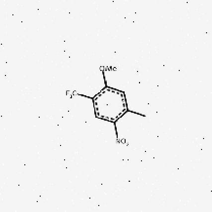 COc1cc(C)c([N+](=O)[O-])cc1C(F)(F)F